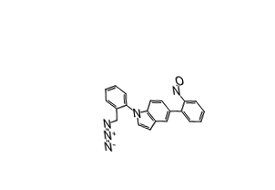 [N-]=[N+]=NCc1ccccc1-n1ccc2cc(-c3ccccc3N=O)ccc21